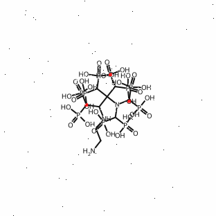 NCCNC(C(P(=O)(O)O)P(=O)(O)O)C(C(P(=O)(O)O)P(=O)(O)O)(C(P(=O)(O)O)P(=O)(O)O)N(C(P(=O)(O)O)P(=O)(O)O)C(P(=O)(O)O)P(=O)(O)O